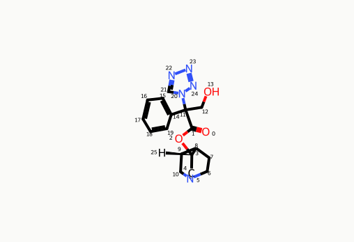 O=C(O[C@H]1CN2CCC1CC2)C(CO)(c1ccccc1)n1cnnn1